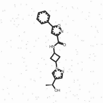 C[C@H](O)c1cnn(C2CC(NC(=O)c3cc(-c4ccccc4)on3)C2)c1